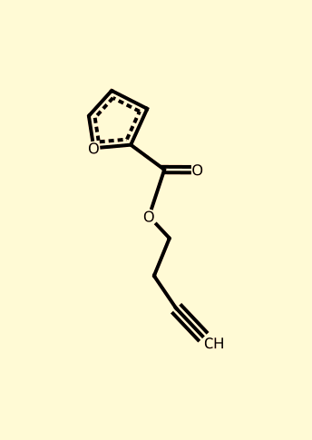 C#CCCOC(=O)c1ccco1